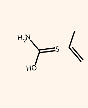 C=CC.NC(O)=S